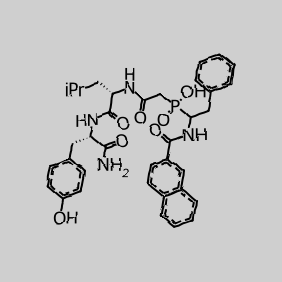 CC(C)C[C@H](NC(=O)CP(=O)(O)C(Cc1ccccc1)NC(=O)c1ccc2ccccc2c1)C(=O)N[C@@H](Cc1ccc(O)cc1)C(N)=O